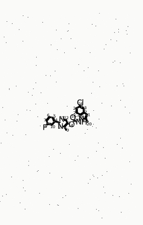 Cc1nc(-c2cccc(F)c2)ncc1OC(=O)Nn1c(C)cc2cc(Cl)ccc21